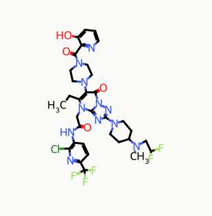 CCc1c(N2CCN(C(=O)c3ncccc3O)CC2)c(=O)n2nc(N3CCC(N(C)CC(F)F)CC3)nc2n1CC(=O)Nc1ccc(C(F)(F)F)nc1Cl